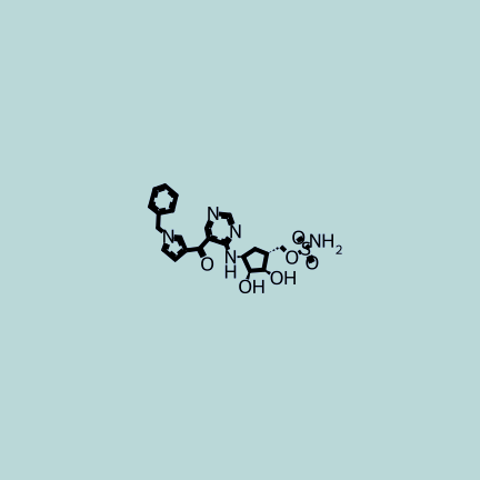 NS(=O)(=O)OC[C@H]1C[C@@H](Nc2ncncc2C(=O)c2ccn(Cc3ccccc3)c2)[C@H](O)[C@@H]1O